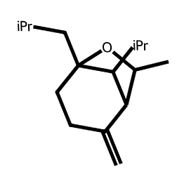 C=C1CCC2(CC(C)C)OC(C)C1C2C(C)C